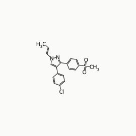 CC=Cn1cc(-c2ccc(Cl)cc2)c(-c2ccc(S(C)(=O)=O)cc2)n1